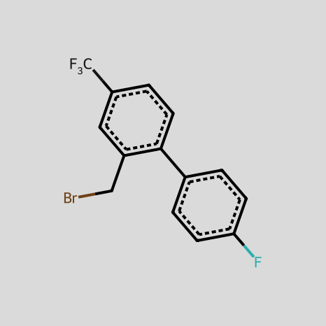 Fc1ccc(-c2ccc(C(F)(F)F)cc2CBr)cc1